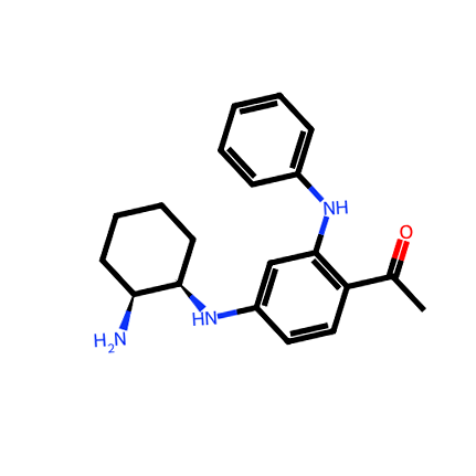 CC(=O)c1ccc(N[C@@H]2CCCC[C@@H]2N)cc1Nc1ccccc1